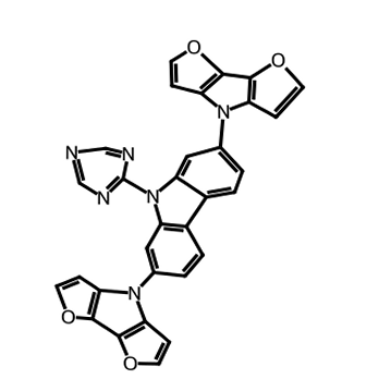 c1ncnc(-n2c3cc(-n4c5ccoc5c5occc54)ccc3c3ccc(-n4c5ccoc5c5occc54)cc32)n1